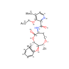 CC[C@H]1OCC[C@H](NC(=O)c2nccc(OC)c2OCOC(C)=O)C(=O)O[C@@H](C)[C@@H]1Oc1ccccc1